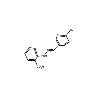 CC(C)c1ccc(/C=N/Nc2ccccc2C(=O)O)cc1